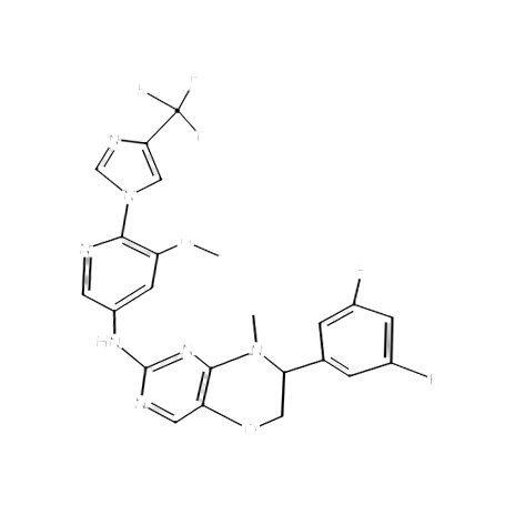 COc1cc(Nc2ncc3c(n2)N(C)C(c2cc(F)cc(F)c2)CO3)cnc1-n1cnc(C(F)(F)F)c1